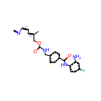 C=N/C=C\C=C(/C)COC(=O)NCc1ccc(C(=O)Nc2ccc(F)cc2N)cc1